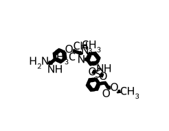 CCOC(=O)Cc1ccccc1S(=O)(=O)Nc1ccc2c(c1)nc(C(C)(C)Oc1ccc(C(=N)N)cc1)n2C